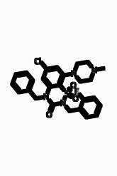 CN1CCN(c2cc(Cl)cc3c2S(=O)(=O)N(Cc2ccccc2F)C(=O)N3Cc2ccccc2)CC1